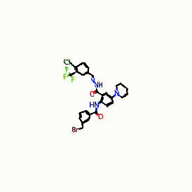 O=C(Nc1ccc(N2CCCCC2)cc1C(=O)NN=Cc1ccc(Cl)c(C(F)(F)F)c1)c1cccc(CBr)c1